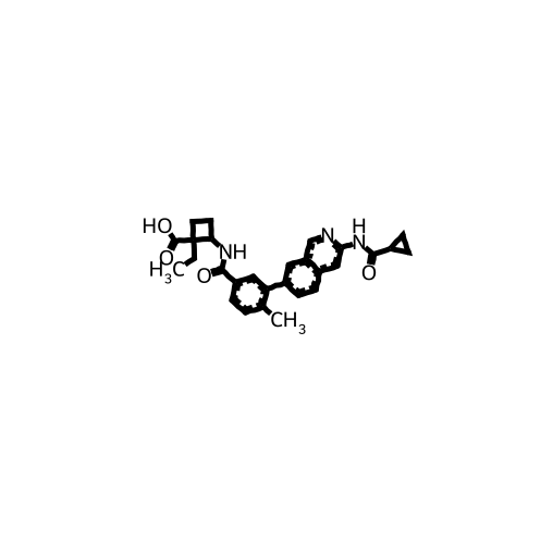 CCC1(C(=O)O)CCC1NC(=O)c1ccc(C)c(-c2ccc3cc(NC(=O)C4CC4)ncc3c2)c1